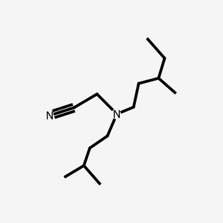 CCC(C)CCN(CC#N)CCC(C)C